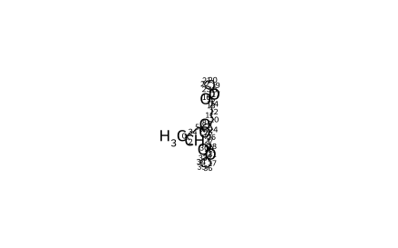 CC(C)CCCC(=O)OC(CCCCCC(=O)OC1CCCCC1)CCCCCC(=O)OC1CCCCC1